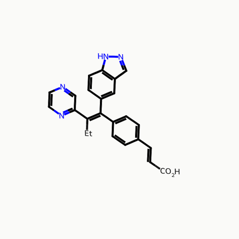 CCC(=C(c1ccc(C=CC(=O)O)cc1)c1ccc2[nH]ncc2c1)c1cnccn1